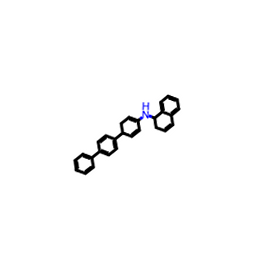 C1=Cc2ccccc2C(NC2=CCC(c3ccc(-c4ccccc4)cc3)C=C2)C1